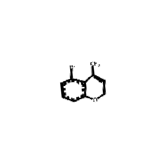 CC1=CCOc2cccc(Br)c21